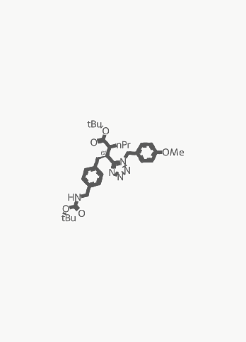 CCCC(C(=O)OC(C)(C)C)[C@H](Cc1ccc(CNC(=O)OC(C)(C)C)cc1)c1nnnn1Cc1ccc(OC)cc1